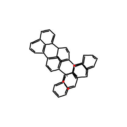 C1=CC(c2cccc3cccc(-c4ccc(N(c5ccccc5)c5ccccc5)cc4)c23)CC=C1N(c1ccccc1)c1ccccc1